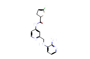 Nc1ncccc1NCc1cc(NC(=O)C2CC=C(Br)S2)ccn1